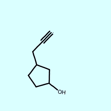 [C]#CCC1CCC(O)C1